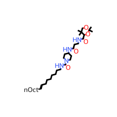 CCCCCCCCC=CCCCCCCCNC(=O)N1CCC(NC(=O)CCNC(=O)C2OC(C)(C)OCC2(C)C)CC1